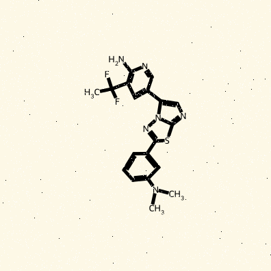 CN(C)c1cccc(-c2nn3c(-c4cnc(N)c(C(C)(F)F)c4)cnc3s2)c1